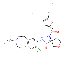 CN1CCc2cc(F)c(NC(=O)[C@]3(NC(=O)c4ccc(Cl)s4)CCOC3)cc2CC1